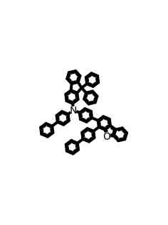 c1ccc(-c2ccc(-c3c(-c4ccc(N(c5ccc(-c6ccccc6)cc5)c5ccc6c(c5)C(c5ccccc5)(c5ccccc5)c5ccccc5-6)cc4)ccc4c3oc3ccccc34)cc2)cc1